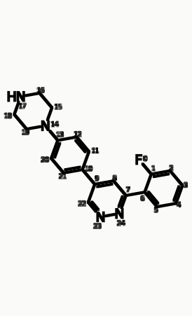 Fc1ccccc1-c1cc(-c2ccc(N3CCNCC3)cc2)cnn1